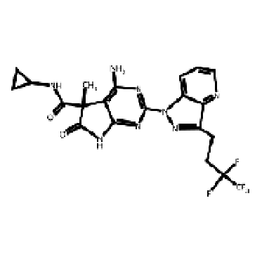 CC1(C(=O)NC2CC2)C(=O)Nc2nc(-n3nc(CCC(F)(F)C(F)(F)F)c4ncccc43)nc(N)c21